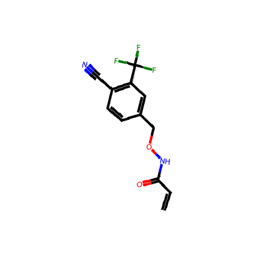 C=CC(=O)NOCc1ccc(C#N)c(C(F)(F)F)c1